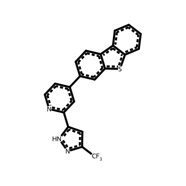 FC(F)(F)c1cc(-c2cc(-c3ccc4c(c3)sc3ccccc34)ccn2)[nH]n1